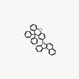 c1ccc(C2(c3ccccc3)c3ccccc3Oc3ccc(-n4c5ccccc5c5c6ccccc6ccc54)cc32)cc1